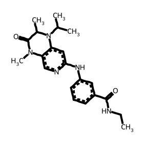 CCNC(=O)c1cccc(Nc2cc3c(cn2)N(C)C(=O)C(C)N3C(C)C)c1